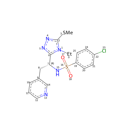 CCn1c(SC)nnc1[C@@H](Cc1cccnc1)NS(=O)(=O)c1ccc(Cl)cc1